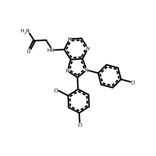 NC(=O)CNc1ncnc2c1nc(-c1ccc(Cl)cc1Cl)n2-c1ccc(Cl)cc1